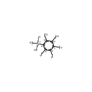 Ic1c(I)c(I)c(S(I)(I)I)c(I)c1I